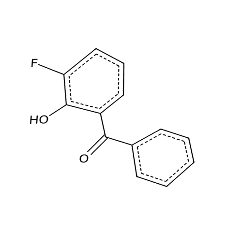 O=C(c1ccccc1)c1cccc(F)c1O